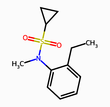 CCc1ccccc1N(C)S(=O)(=O)C1CC1